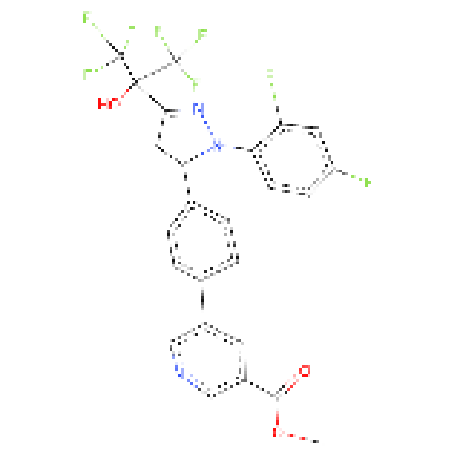 COC(=O)c1cncc(-c2ccc(C3CC(C(O)(C(F)(F)F)C(F)(F)F)=NN3c3ccc(F)cc3F)cc2)c1